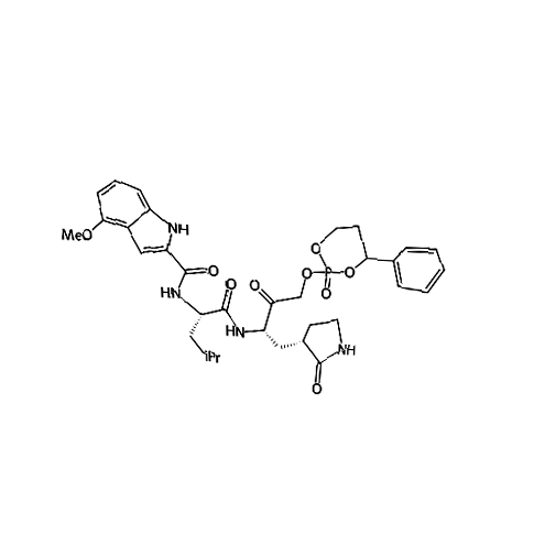 COc1cccc2[nH]c(C(=O)N[C@@H](CC(C)C)C(=O)N[C@@H](C[C@@H]3CCNC3=O)C(=O)COP3(=O)OCCC(c4ccccc4)O3)cc12